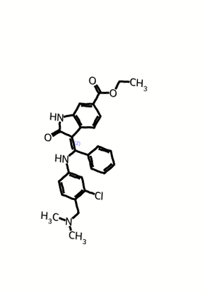 CCOC(=O)c1ccc2c(c1)NC(=O)/C2=C(\Nc1ccc(CN(C)C)c(Cl)c1)c1ccccc1